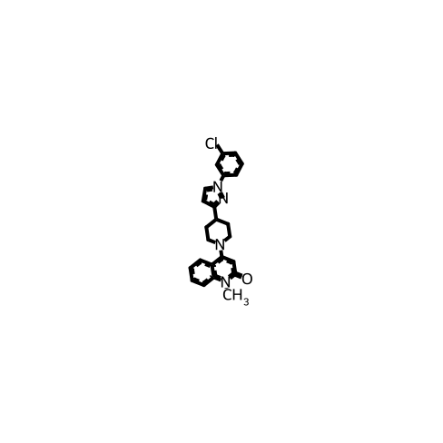 Cn1c(=O)cc(N2CCC(c3ccn(-c4cccc(Cl)c4)n3)CC2)c2ccccc21